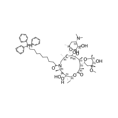 CC[C@H]1OC(=O)[C@H](C)[C@@H](C2C[C@@](C)(OC)[C@@H](O)[C@H](C)O2)[C@H](C)[C@@H](O[C@@H]2O[C@H](C)C[C@H](N(C)C)[C@H]2O)[C@](C)(O)C[C@@H](C)CN(C(=O)CCCCCCCC[PH](c2ccccc2)(c2ccccc2)c2ccccc2)[C@H](C)[C@@H](O)[C@]1(C)O